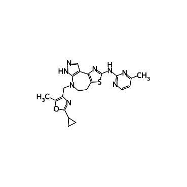 Cc1ccnc(Nc2nc3c(s2)CCN(Cc2nc(C4CC4)oc2C)c2[nH]ncc2-3)n1